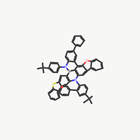 CC(C)(C)c1ccc(N2B3c4cc5sc6ccccc6c5cc4N(c4ccc(C(C)(C)C)cc4-c4ccccc4)c4cc5c(oc6ccccc65)c(c43)-c3cc(-c4ccccc4)ccc32)cc1